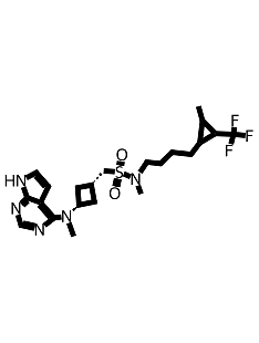 CC1C(CCCCN(C)S(=O)(=O)C[C@H]2C[C@@H](N(C)c3ncnc4[nH]ccc34)C2)C1C(F)(F)F